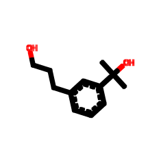 CC(C)(O)c1cccc(CCCO)c1